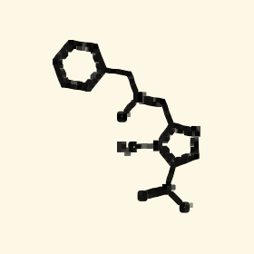 Cn1c([N+](=O)[O-])cnc1C=[N+]([O-])Cc1ccccc1